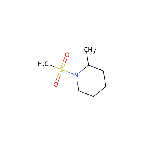 [CH2]C1CCCCN1S(C)(=O)=O